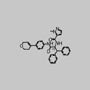 Cn1nccc1C(=O)N[C@H](C(=O)Nc1ccc(C2=CCOCC2)cc1)C(c1ccccc1)c1ccccc1